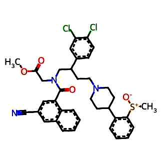 COC(=O)CN(CC(CCN1CCC(c2ccccc2[S@+](C)[O-])CC1)c1ccc(Cl)c(Cl)c1)C(=O)c1cc(C#N)cc2ccccc12